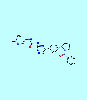 Cc1ccc(NC(=O)Nc2cncc(-c3ccc(C4CCCN4C(=O)c4ccccc4)cc3)n2)cn1